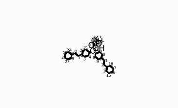 C(=Cc1ccc(Oc2ccc(C=Cc3ccccc3)cc2)cc1)c1ccccc1.O=P([O-])(O)O.[K+]